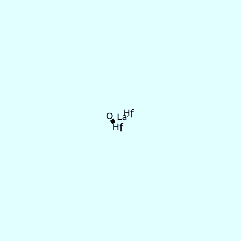 [Hf].[La].[O]=[Hf]